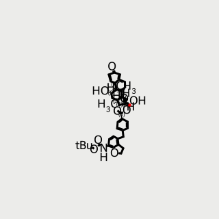 CC(C)(C)OC(=O)Nc1ccc(Cc2ccc([C@@H]3O[C@@H]4C[C@H]5[C@@H]6CCC7=CC(=O)C=C[C@]7(C)[C@H]6[C@@H](O)C[C@]5(C)[C@]4(C(=O)CO)O3)cc2)c2c1OCC2